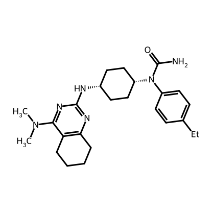 CCc1ccc(N(C(N)=O)[C@H]2CC[C@@H](Nc3nc4c(c(N(C)C)n3)CCCC4)CC2)cc1